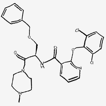 CN1CCN(C(=O)[C@@H](COCc2ccccc2)NC(=O)c2cccnc2Oc2c(Cl)cccc2Cl)CC1